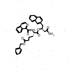 NC(=O)C[C@H](Cc1ccc2ccccc2c1)OC(=O)[C@H](CCCC(=O)OCc1ccccc1)NC(=O)c1nccc2ccccc12